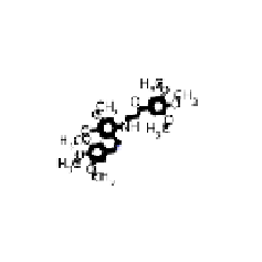 COc1cc(NCCC(=O)c2cc(OC)c(OC)c(OC)c2)c(/C=C\c2cc(OC)c(OC)c(OC)c2)cc1Cl